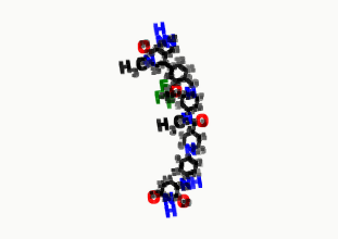 CN(C(=O)C1CCN(c2ccc(NC3CCC(=O)NC3=O)cc2)CC1)C1CCN(Cc2ccc(-c3cn(C)c(=O)c4[nH]ncc34)cc2OC(F)(F)F)CC1